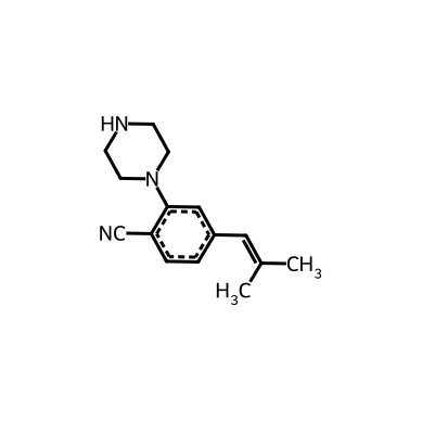 CC(C)=Cc1ccc(C#N)c(N2CCNCC2)c1